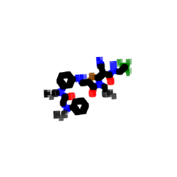 CCn1c(=C(C#N)C(=O)NCC(F)(F)F)sc(=CNc2cccc(N(C)C(=O)CN(C)c3ccccc3)c2)c1=O